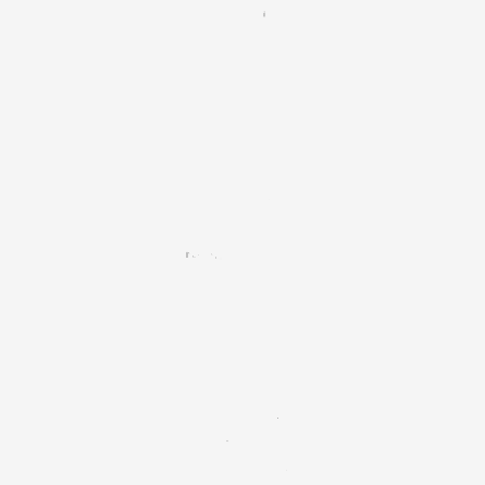 CC(C)CCCCCCCCCCCCCCCOC(=O)C(C)O.[NaH].[NaH]